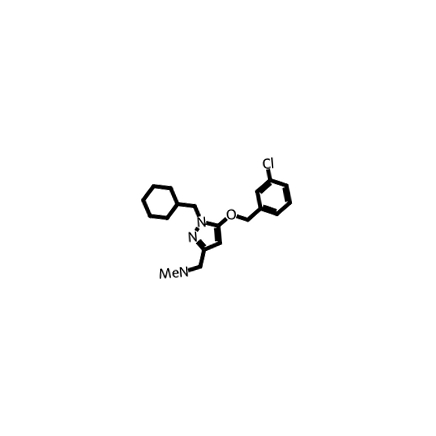 CNCc1cc(OCc2cccc(Cl)c2)n(CC2CCCCC2)n1